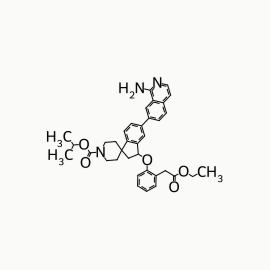 CCOC(=O)Cc1ccccc1OC1CC2(CCN(C(=O)OC(C)C)CC2)c2ccc(-c3ccc4ccnc(N)c4c3)cc21